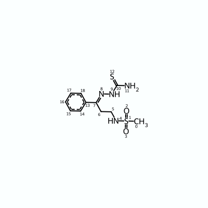 CS(=O)(=O)NCCC(=NNC(N)=S)c1ccccc1